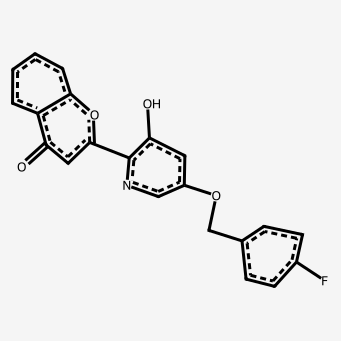 O=c1cc(-c2ncc(OCc3ccc(F)cc3)cc2O)oc2ccccc12